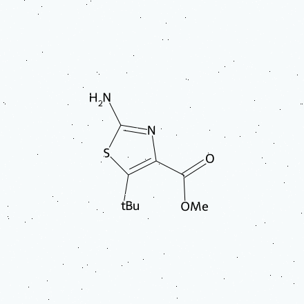 COC(=O)c1nc(N)sc1C(C)(C)C